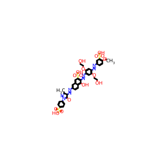 COc1ccc(/N=N/c2cc(OCCO)c(/N=N/c3c(S(=O)(=O)O)cc4cc(/N=N/C5C(=O)N(c6ccc(S(=O)(=O)O)cc6)N=C5C)ccc4c3O)cc2OCCO)cc1S(=O)(=O)O